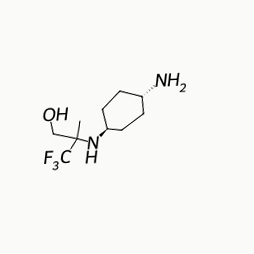 CC(CO)(N[C@H]1CC[C@H](N)CC1)C(F)(F)F